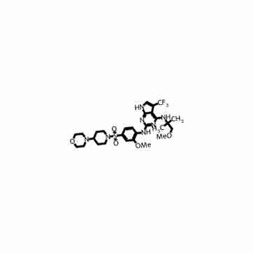 COCC(C)(C)Nc1nc(Nc2ccc(S(=O)(=O)N3CCC(N4CCOCC4)CC3)cc2OC)nc2[nH]cc(C(F)(F)F)c12